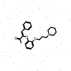 CC(=O)C(=Cc1ccccc1)Oc1ccccc1OCCCN1CCCCC1